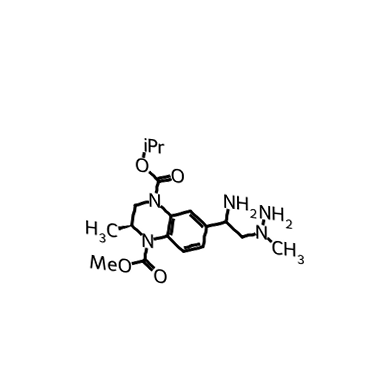 COC(=O)N1c2ccc(C(N)CN(C)N)cc2N(C(=O)OC(C)C)C[C@@H]1C